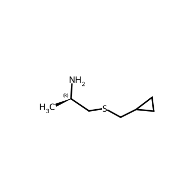 C[C@@H](N)CSCC1CC1